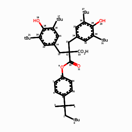 CC(C)(C)CC(C)(C)c1ccc(OC(=O)C(Cc2cc(C(C)(C)C)c(O)c(C(C)(C)C)c2)(Cc2cc(C(C)(C)C)c(O)c(C(C)(C)C)c2)C(=O)O)cc1